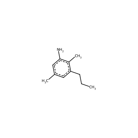 CCCc1cc(C)cc(N)c1C